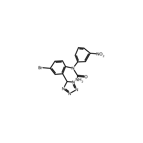 NC(=O)N(c1cccc([N+](=O)[O-])c1)c1ccc(Br)cc1C1N=NN=N1